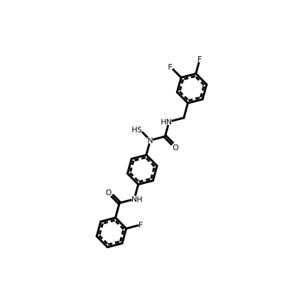 O=C(Nc1ccc(N(S)C(=O)NCc2ccc(F)c(F)c2)cc1)c1ccccc1F